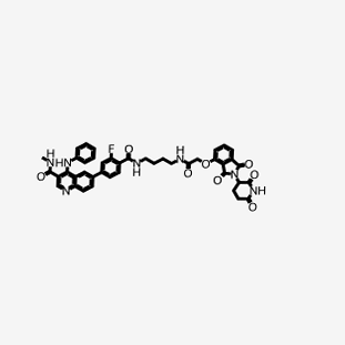 CNC(=O)c1cnc2ccc(-c3ccc(C(=O)NCCCCNC(=O)COc4cccc5c4C(=O)N(C4CCC(=O)NC4=O)C5=O)c(F)c3)cc2c1Nc1ccccc1